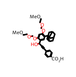 COCCOCOc1cc(OCOCCOC)c(C23CC4CC(CC(C4)C2)C3)cc1C(O)C#Cc1ccc(C(=O)O)cc1